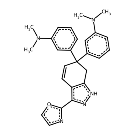 CN(C)c1cccc(C2(c3cccc(N(C)C)c3)C=Cc3c(-c4ncco4)n[nH]c3C2)c1